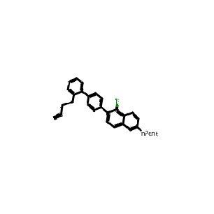 C=CCCc1ccccc1-c1ccc(-c2ccc3cc(CCCCC)ccc3c2F)cc1